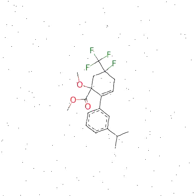 COC(=O)C1(OC)CC(F)(C(F)(F)F)CC=C1c1cccc(C(C)C)c1